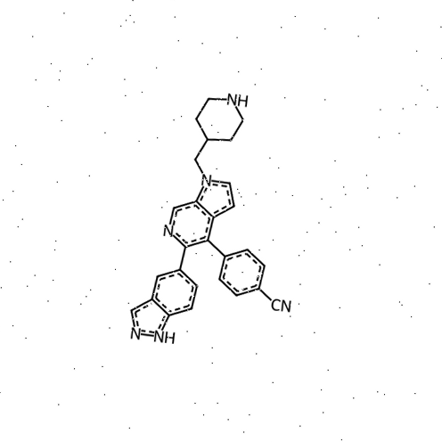 N#Cc1ccc(-c2c(-c3ccc4[nH]ncc4c3)ncc3c2ccn3CC2CCNCC2)cc1